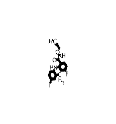 C#CCONC(=O)c1ccc(F)cc1Nc1ccc(I)cc1C